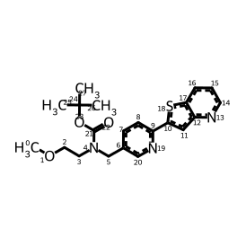 COCCN(Cc1ccc(-c2cc3ncccc3s2)nc1)C(=O)OC(C)(C)C